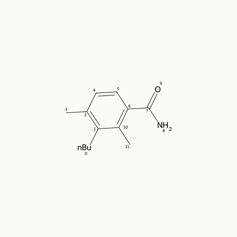 CCCCc1c(C)ccc(C(N)=O)c1C